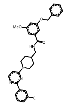 COc1cc(OCc2ccccc2)cc(C(=O)NCC2CCN(c3ccnc(-c4cccc(Cl)c4)n3)CC2)c1